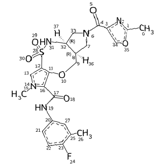 Cc1nc(C(=O)N2C[C@H]3COc4c(cn(C)c4C(=O)Nc4ccc(F)c(C)c4)S(=O)(=O)N[C@H]3C2)co1